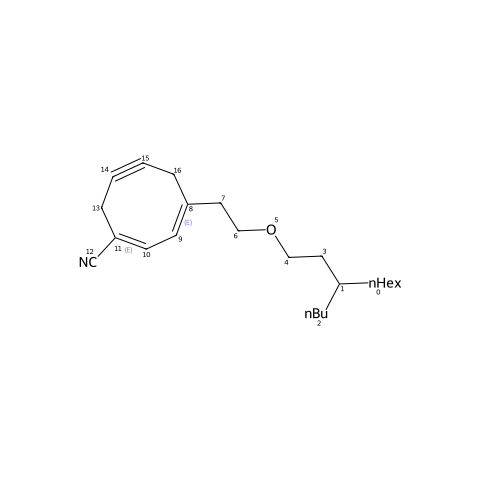 CCCCCCC(CCCC)CCOCC/C1=C/C=C(/C#N)CC#CC1